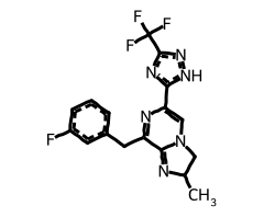 CC1CN2C=C(c3nc(C(F)(F)F)n[nH]3)N=C(Cc3cccc(F)c3)C2=N1